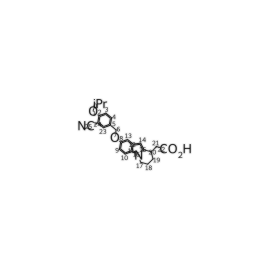 CC(C)Oc1ccc(COc2ccc3c(c2)cc2n3CCC[C@@H]2CC(=O)O)cc1C#N